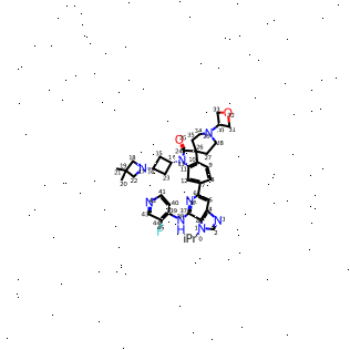 CC(C)n1cnc2cc(-c3ccc4c(c3)N([C@H]3C[C@@H](N5CC(C)(C)C5)C3)C(=O)C43CCN(C4COC4)CC3)nc(Nc3ccncc3F)c21